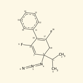 CC(C)C1(N=[N+]=[N-])C=C(F)C(c2ccccc2)=C(F)C1